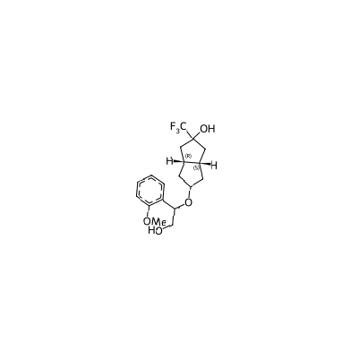 COc1ccccc1C(CO)OC1C[C@@H]2CC(O)(C(F)(F)F)C[C@@H]2C1